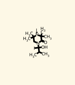 CC(C)C(O)(I)N1CC(C)(C)N(I)C(C)(C)C1=O